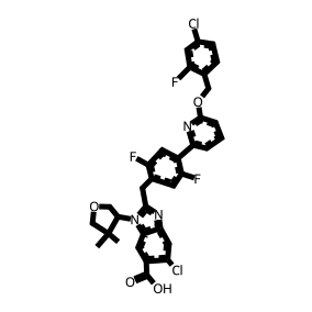 CC1(C)COCC1n1c(Cc2cc(F)c(-c3cccc(OCc4ccc(Cl)cc4F)n3)cc2F)nc2cc(Cl)c(C(=O)O)cc21